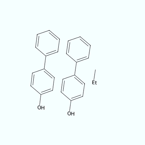 CCC.Oc1ccc(-c2ccccc2)cc1.Oc1ccc(-c2ccccc2)cc1